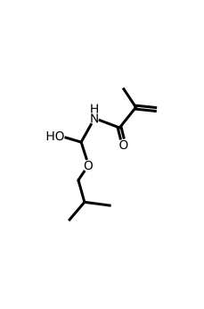 C=C(C)C(=O)NC(O)OCC(C)C